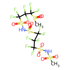 CS(=O)(=O)NS(=O)(=O)C(F)(F)C(F)(F)C(F)(F)S(=O)(=O)NS(=O)(=O)C(F)(F)C(F)(F)C(F)(F)S(C)(=O)=O